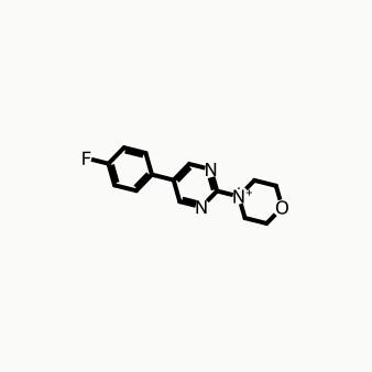 Fc1ccc(-c2cnc([N+]3CCOCC3)nc2)cc1